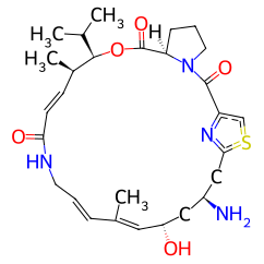 CC1=C\[C@@H](O)C[C@H](N)Cc2nc(cs2)C(=O)N2CCC[C@@H]2C(=O)O[C@H](C(C)C)[C@H](C)/C=C/C(=O)NC\C=C\1